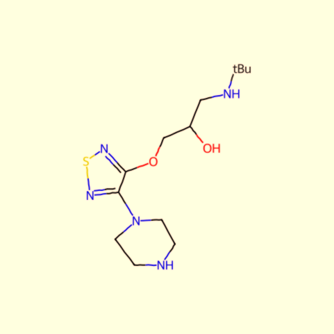 CC(C)(C)NCC(O)COc1nsnc1N1CCNCC1